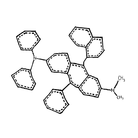 CN(C)c1ccc2c(-c3ccccc3)c3cc(N(c4ccccc4)c4ccccc4)ccc3c(-c3cccc4ccccc34)c2c1